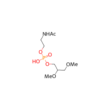 COCC(COP(=O)(O)OCCNC(C)=O)OC